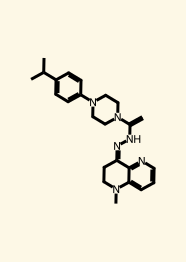 C=C(N/N=C1/CCN(C)c2cccnc21)N1CCN(c2ccc(C(C)C)cc2)CC1